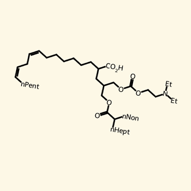 CCCCC/C=C\C/C=C\CCCCCCC(CC(COC(=O)OCCN(CC)CC)COC(=O)C(CCCCCCC)CCCCCCCCC)C(=O)O